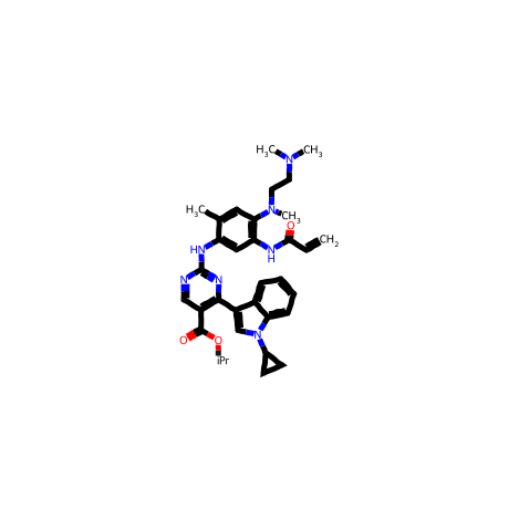 C=CC(=O)Nc1cc(Nc2ncc(C(=O)OC(C)C)c(-c3cn(C4CC4)c4ccccc34)n2)c(C)cc1N(C)CCN(C)C